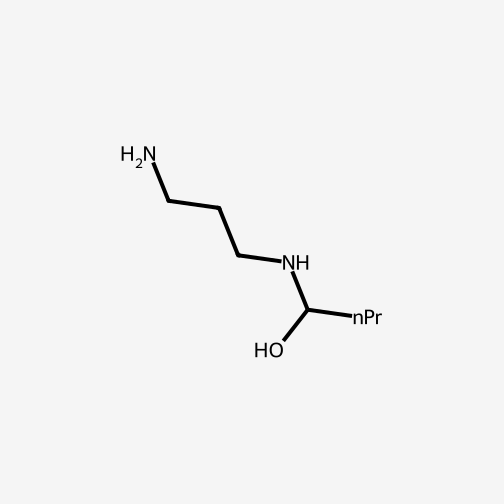 CCCC(O)NCCCN